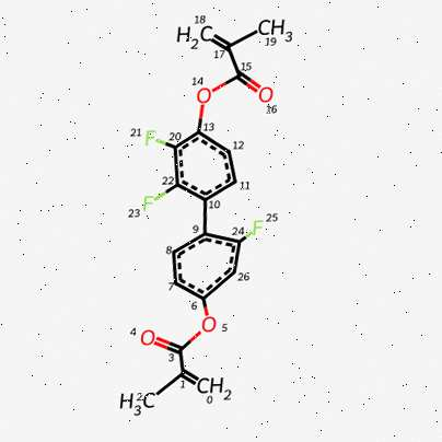 C=C(C)C(=O)Oc1ccc(-c2ccc(OC(=O)C(=C)C)c(F)c2F)c(F)c1